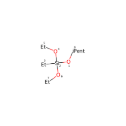 CCCC(C)O[Si](CC)(OCC)OCC